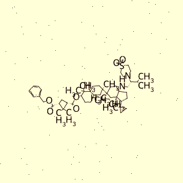 CCC[C@@H]1[C@@]2(C)CC[C@H](OC(=O)[C@H]3C[C@@H](C(=O)OCc4ccccc4)C3(C)C)C(C)(C)[C@@H]2CC[C@@]1(C)[C@]1(C)CC[C@@]2(NC[C@@H](C(C)C)N3CCS(=O)(=O)CC3)CC[C@@H](C3(C)CC3)[C@@H]2C1